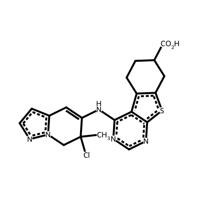 CC1(Cl)Cn2nccc2C=C1Nc1ncnc2sc3c(c12)CCC(C(=O)O)C3